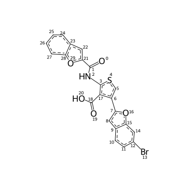 O=C(Nc1scc(-c2cc3ccc(Br)cc3o2)c1C(=O)O)c1cc2ccccc2o1